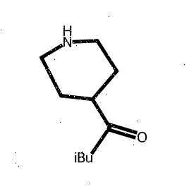 CCC(C)C(=O)C1CCNCC1